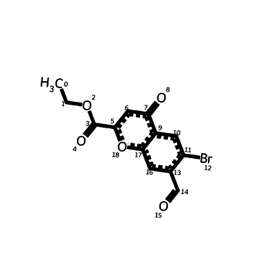 CCOC(=O)c1cc(=O)c2cc(Br)c(C=O)cc2o1